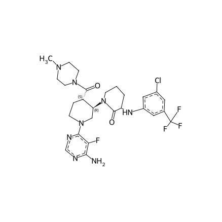 CN1CCN(C(=O)[C@H]2CCN(c3ncnc(N)c3F)C[C@@H]2N2CCCC(Nc3cc(Cl)cc(C(F)(F)F)c3)C2=O)CC1